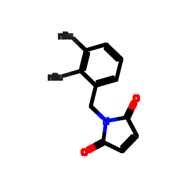 CCCCc1cccc(CN2C(=O)C=CC2=O)c1CCCC